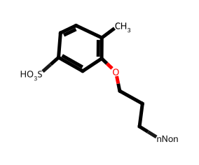 CCCCCCCCCCCCOc1cc(S(=O)(=O)O)ccc1C